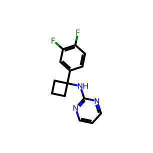 Fc1ccc(C2(Nc3ncccn3)CCC2)cc1F